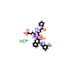 COC(=O)CCC(=O)N[C@@H](CCC(=O)N1CCCCC1)C(=O)N[C@@H](Cc1ccccc1)[C@H](O)CNCc1cccc(OC)c1.Cl